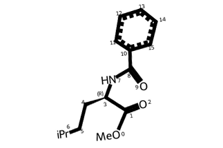 COC(=O)[C@@H](CCC(C)C)NC(=O)c1ccccc1